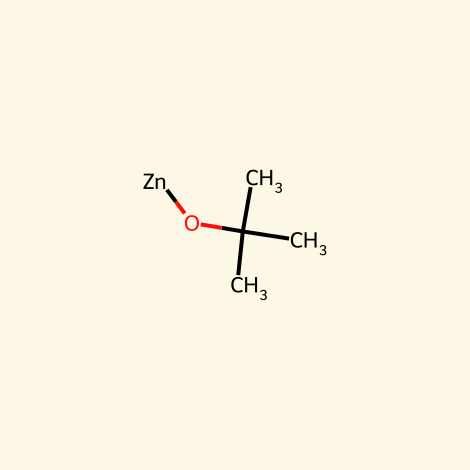 CC(C)(C)[O][Zn]